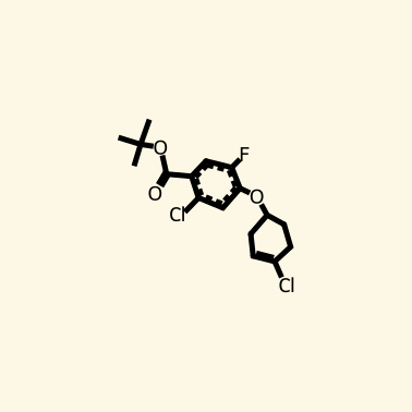 CC(C)(C)OC(=O)c1cc(F)c(OC2CC=C(Cl)CC2)cc1Cl